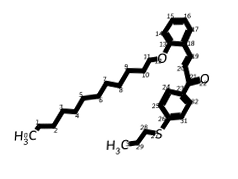 CCCCCCCCCCCCOc1ccccc1C=CC(=O)c1ccc(SCCC)cc1